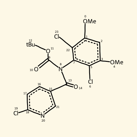 COc1cc(OC)c(Cl)c(N(C(=O)OC(C)(C)C)C(=O)c2ccc(Cl)nc2)c1Cl